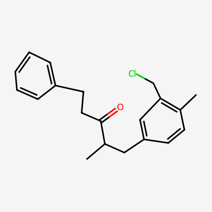 Cc1ccc(CC(C)C(=O)CCc2ccccc2)cc1CCl